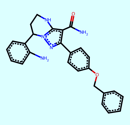 NC(=O)c1c(-c2ccc(OCc3ccccc3)cc2)nn2c1NCCC2c1ccccc1N